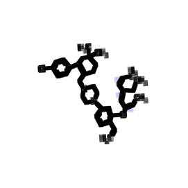 C=Cc1ccc(N2CCN(CC3=C(c4ccc(Cl)cc4)CC(C)(C)CC3)CC2)cc1OC(/C=C(/C=C\C)CC)=C/C